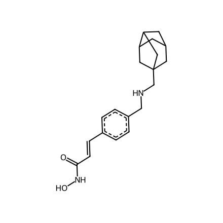 O=C(/C=C/c1ccc(CNCC23CC4CC(C2)C(C4)C3)cc1)NO